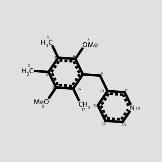 COc1c(C)c(C)c(OC)c(Cc2cccnc2)c1C